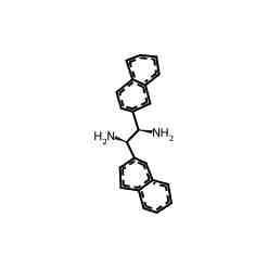 N[C@H](c1ccc2ccccc2c1)[C@H](N)c1ccc2ccccc2c1